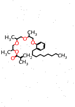 C=C(C)C(=O)OC(C)COC(C)COC(C)COc1ccccc1CCCCCCCCC